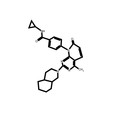 Cc1nc(N2CCC3CCCCC3C2)nc2c1ccc(=O)n2-c1ccc(C(=O)NC2CC2)cc1